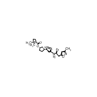 Cc1cc(CC(=O)Nc2cc([C@H]3CC[C@@H](OC(=O)N4CCC4(C)C)C3)[nH]n2)on1